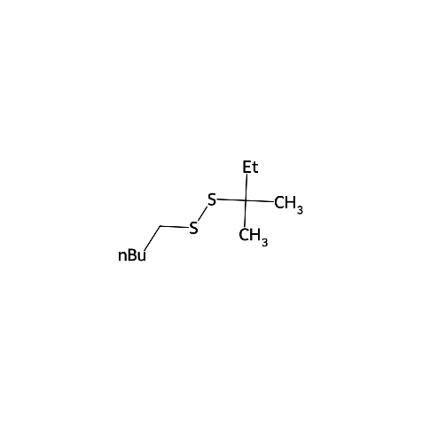 CCCCCSSC(C)(C)CC